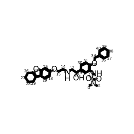 CN(C)S(=O)(=O)Nc1cc([C@@H](O)CNCCOc2ccc3c4c(oc3c2)CCCC4)ccc1OCc1ccccc1